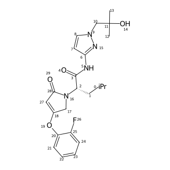 CC(C)C[C@@H](C(=O)Nc1ccn(CC(C)(C)O)n1)N1CC(Oc2ccccc2F)=CC1=O